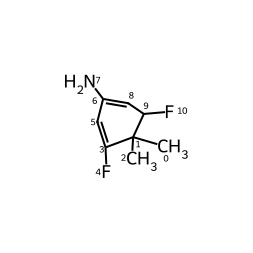 CC1(C)C(F)=CC(N)=CC1F